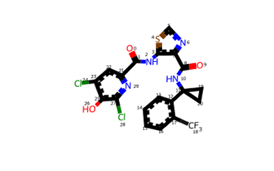 O=C(Nc1scnc1C(=O)NC1(c2ccccc2C(F)(F)F)CC1)c1cc(Cl)c(O)c(Cl)n1